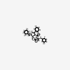 O=C1OC[C@H](Cc2ccccc2)N1C(=O)[C@H]1CN(Cc2ccccc2)CC1c1ccccc1